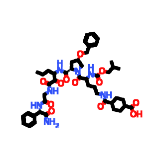 CCCC(NC(=O)[C@@H]1C[C@@H](OCc2ccccc2)CN1C(=O)C(CCCNC(=O)C1CCC(C(=O)O)CC1)NC(=O)OCC(C)C)C(=O)C(=O)NCC(=O)N[C@H](C(N)=O)c1ccccc1